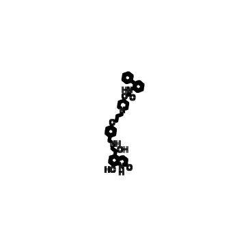 O=C(Nc1ccccc1-c1ccccc1)OC1CCN(CCCOc2ccc(CNC[C@@H](O)c3ccc(O)c4[nH]c(=O)ccc34)cc2)CC1